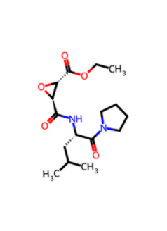 CCOC(=O)[C@H]1O[C@@H]1C(=O)N[C@@H](CC(C)C)C(=O)N1CCCC1